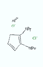 CCCC1=C(CCC)CC=C1.[Cl-].[Cl-].[Hf+2]